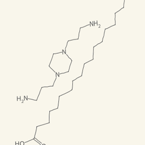 CCCCCCCCCCCCCCCCCC(=O)O.NCCCN1CCN(CCCN)CC1